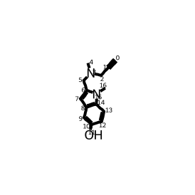 C#CCN(C)Cc1cc2cc(O)ccc2n1C